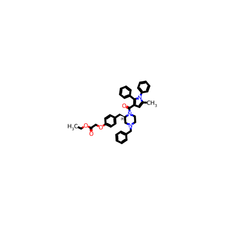 CCOC(=O)COc1ccc(C[C@@H]2CN(Cc3ccccc3)CCN2C(=O)c2cc(C)n(-c3ccccc3)c2-c2ccccc2)cc1